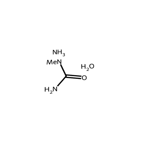 CNC(N)=O.N.O